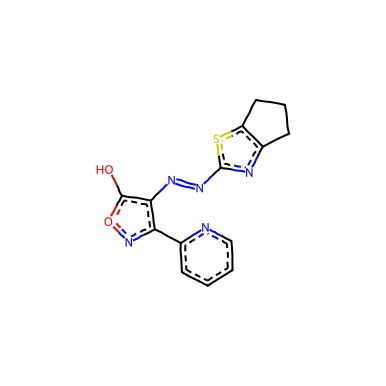 Oc1onc(-c2ccccn2)c1N=Nc1nc2c(s1)CCC2